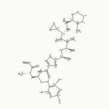 COC(=O)[C@@H](C)C[C@H](CCc1c(F)cc(F)cc1F)NC(=O)c1csc([C@@H](C[C@H](C(C)C)N(C)C(=O)[C@@H](NC(=O)[C@H]2CCCCN2C)C2CC2)OC(C)=O)n1